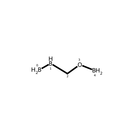 BBCOB